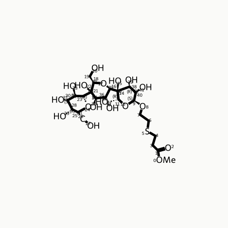 COC(=O)CCSCCO[C@H]1O[C@H](CO)[C@](O)([C@@H]2O[C@H](CO)[C@@](O)([C@@H]3O[C@H](CO)[C@H](O)[C@H](O)[C@H]3O)[C@H](O)[C@H]2O)[C@H](O)[C@H]1O